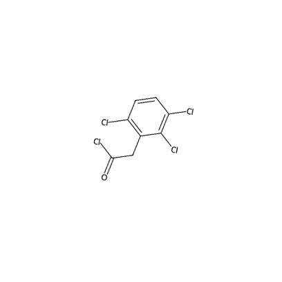 O=C(Cl)Cc1c(Cl)ccc(Cl)c1Cl